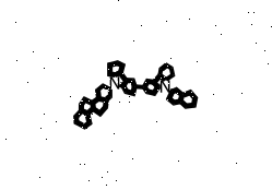 C1=Cc2c(n(-c3ccc4ccccc4c3)c3ccc(-c4ccc5c(c4)c4ccccc4n5C4C=c5ccc6c(ccc7ccccc76)c5=CC4)cc23)CC1